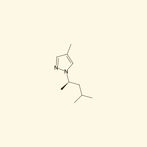 Cc1cnn([C@H](C)CC(C)C)c1